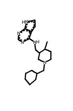 CC1CCN(CC2CCCCC2)CC1CNc1ncnc2[nH]ccc12